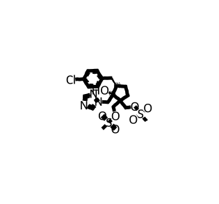 CS(=O)(=O)OCC1(COS(C)(=O)=O)CC[C@H](Cc2ccc(Cl)cc2)[C@@]1(O)Cn1cncn1